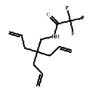 C=CCC(CC=C)(CC=C)CNC(=O)C(F)(F)F